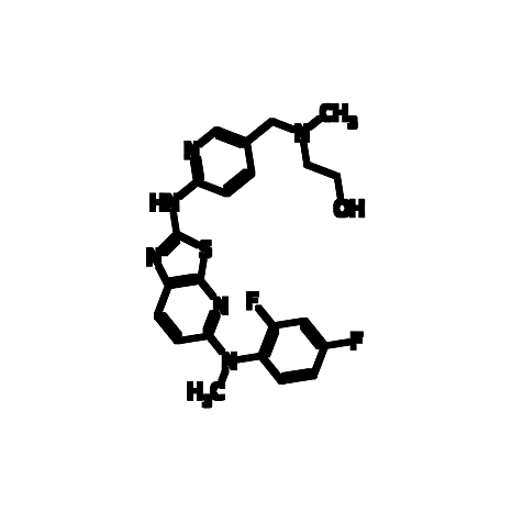 CN(CCO)Cc1ccc(Nc2nc3ccc(N(C)c4ccc(F)cc4F)nc3s2)nc1